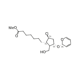 COC(=O)CCCCCC[C@H]1C(CO)[C@@H](O[C@H]2C=CC=CO2)C[C@@H]1Cl